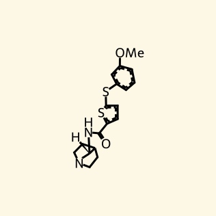 COc1cccc(Sc2ccc(C(=O)N[C@H]3CN4CCC3CC4)s2)c1